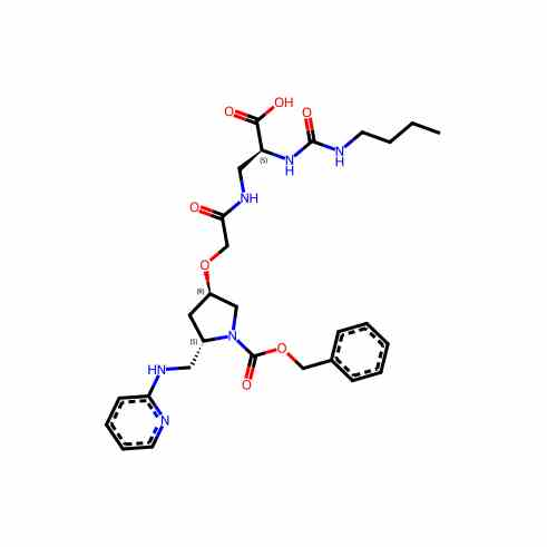 CCCCNC(=O)N[C@@H](CNC(=O)CO[C@@H]1C[C@@H](CNc2ccccn2)N(C(=O)OCc2ccccc2)C1)C(=O)O